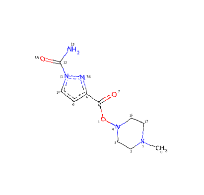 CN1CCN(OC(=O)c2ccn(C(N)=O)n2)CC1